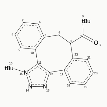 CC(C)(C)C(=O)C1Cc2ccccc2-c2c(nnn2C(C)(C)C)-c2ccccc21